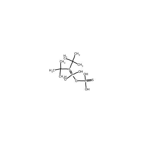 CC(C)(C)S(C(C)(C)C)=P(O)(O)OP(O)(O)=S